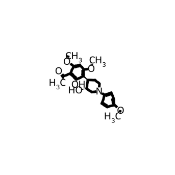 COc1ccc(N2CC[C@H](c3c(OC)cc(OC)c(C(C)=O)c3O)[C@@H](O)C2)cc1